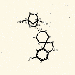 Fc1ccc2c(c1)C1(CCN([C@@H]3C[C@@H]4CC[C@H]3C4)CC1)CO2